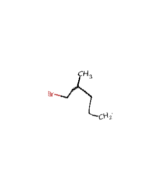 [CH2]CCC(C)CBr